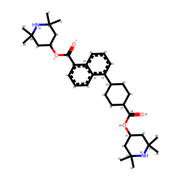 CC1(C)CC(OC(=O)c2cccc3c(C4CCC(C(=O)OC5CC(C)(C)NC(C)(C)C5)CC4)cccc23)CC(C)(C)N1